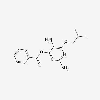 CC(C)COc1nc(N)nc(OC(=O)c2ccccc2)c1N